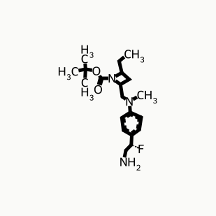 CCC1CC(CN(C)c2ccc([C@H](F)CN)cc2)N1C(=O)OC(C)(C)C